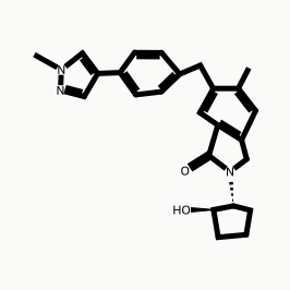 Cc1cc2c(cc1Cc1ccc(-c3cnn(C)c3)cc1)C(=O)N([C@@H]1CCC[C@H]1O)C2